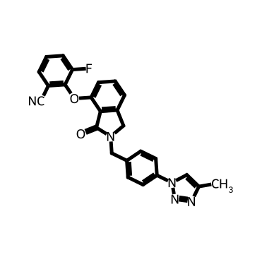 Cc1cn(-c2ccc(CN3Cc4cccc(Oc5c(F)cccc5C#N)c4C3=O)cc2)nn1